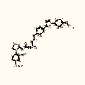 COc1ccc(N2CCS/C2=N\C(=O)NC(C)CCCc2ccc(-c3ncn(-c4ccc(OC(F)(F)F)cc4)n3)cc2)c(C(C)C)c1